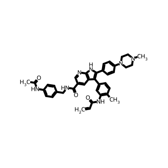 C=CC(=O)Nc1cc(-c2c(-c3ccc(N4CCN(C)CC4)cc3)[nH]c3ncc(C(=O)NCc4ccc(NC(C)=O)cc4)cc23)ccc1C